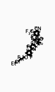 CCOCC(F)CCOc1ccc(-c2ncc(N3C(=S)N(c4ccc(C#N)c(C(F)(F)F)c4F)C(=O)C3(C)C)cc2F)cc1F